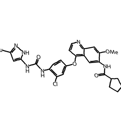 COc1cc2nccc(Oc3ccc(NC(=O)Nc4cc(C(C)(C)C)n[nH]4)c(Cl)c3)c2cc1NC(=O)C1CCCC1